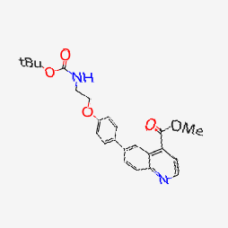 COC(=O)c1ccnc2ccc(-c3ccc(OCCNC(=O)OC(C)(C)C)cc3)cc12